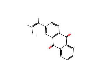 CC(C)=C(C)c1ccc2c(c1)C(=O)c1ccccc1C2=O